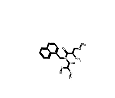 CCOC(OCC)[C@H](C)N(Cc1cccc2ccccc12)C(=O)C(N)COC(C)(C)C